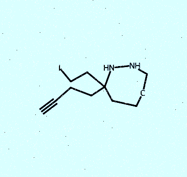 C#CCCC1(CCI)CCCCNN1